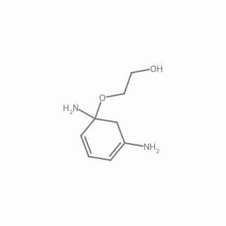 NC1=CC=CC(N)(OCCO)C1